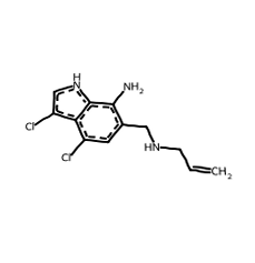 C=CCNCc1cc(Cl)c2c(Cl)c[nH]c2c1N